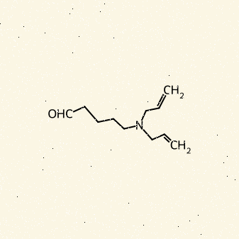 C=CCN(CC=C)CCCCC=O